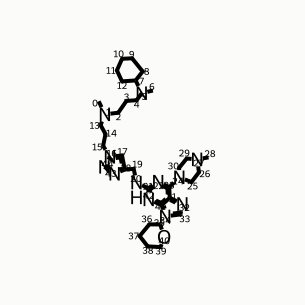 CN(CCCN(C)C1CCCCC1)CCCn1cc(CNc2nc(N3CCN(C)CC3)c3ncn(C4CCCCO4)c3n2)nn1